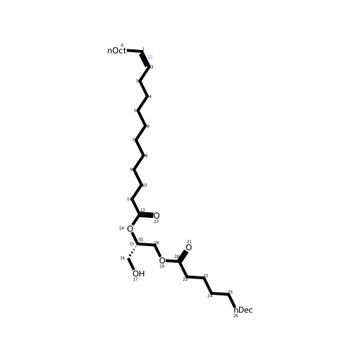 CCCCCCCC/C=C\CCCCCCCCCC(=O)O[C@@H](CO)COC(=O)CCCCCCCCCCCCCC